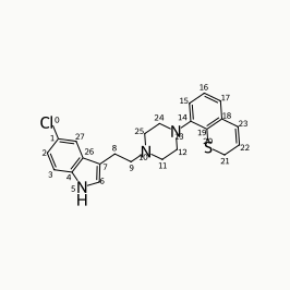 Clc1ccc2[nH]cc(CCN3CCN(c4cccc5c4SCC=C5)CC3)c2c1